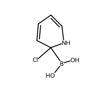 OB(O)C1(Cl)C=CC=CN1